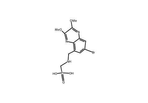 COc1nc2cc(Br)cc(CNCP(=O)(O)O)c2nc1OC